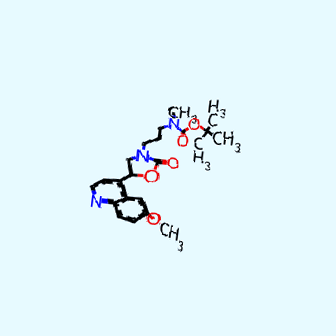 COc1ccc2nccc(C3CN(CCCN(C)C(=O)OC(C)(C)C)C(=O)O3)c2c1